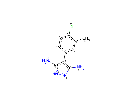 Cc1cc(-c2c(N)n[nH]c2N)ccc1Cl